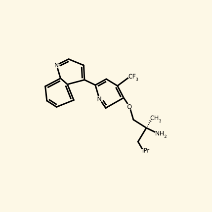 CC(C)C[C@](C)(N)COc1cnc(-c2ccnc3ccccc23)cc1C(F)(F)F